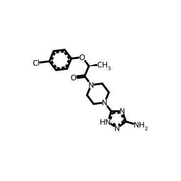 C[C@H](Oc1ccc(Cl)cc1)C(=O)N1CCN(c2nc(N)n[nH]2)CC1